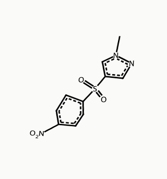 Cn1cc(S(=O)(=O)c2ccc([N+](=O)[O-])cc2)cn1